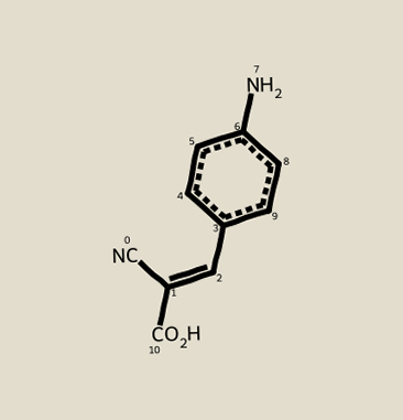 N#C/C(=C\c1ccc(N)cc1)C(=O)O